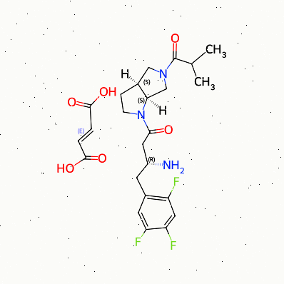 CC(C)C(=O)N1C[C@@H]2CCN(C(=O)C[C@H](N)Cc3cc(F)c(F)cc3F)[C@@H]2C1.O=C(O)/C=C/C(=O)O